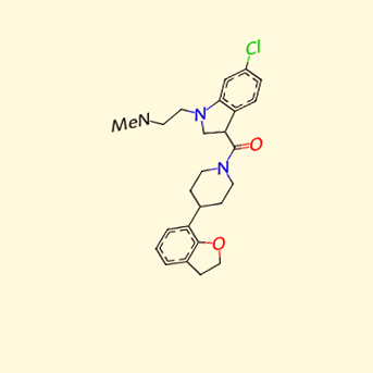 CNCCN1CC(C(=O)N2CCC(c3cccc4c3OCC4)CC2)c2ccc(Cl)cc21